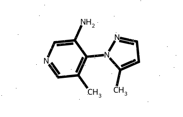 Cc1cncc(N)c1-n1nccc1C